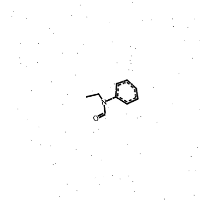 CCN(C=O)c1[c]cccc1